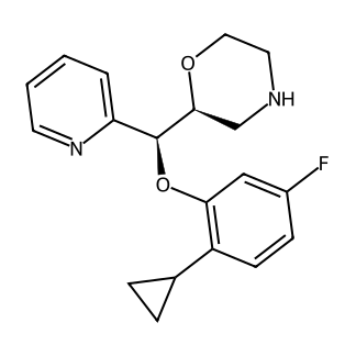 Fc1ccc(C2CC2)c(O[C@@H](c2ccccn2)[C@@H]2CNCCO2)c1